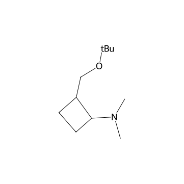 CN(C)C1CCC1COC(C)(C)C